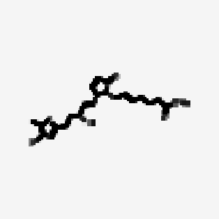 COC(=O)CCCC=CC[C@H]1C(=O)C=C[C@@H]1C=C[C@@H](O)CCc1cc(Br)c(C)s1